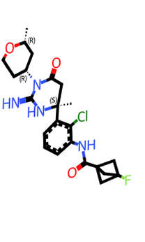 C[C@@H]1C[C@H](N2C(=N)N[C@](C)(c3cccc(NC(=O)C45CC(F)(C4)C5)c3Cl)CC2=O)CCO1